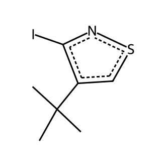 CC(C)(C)c1csnc1I